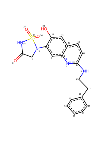 O=C1CN(c2cc3nc(NCCc4ccccc4)ccc3cc2O)S(=O)(=O)N1